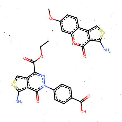 CCOC(=O)c1nn(-c2ccc(C(=O)O)cc2)c(=O)c2c(N)scc12.COc1ccc2c(c1)oc(=O)c1c(N)scc12